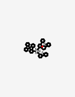 c1c(-c2nc(-c3cccc4c3-c3ccccc3C4(c3ccccc3)c3ccccc3)nc(-c3cccc4c3sc3ccccc34)n2)ccc(-c2ccccc2-n2c3c(c4ccccc42)C=CCC3)c#1